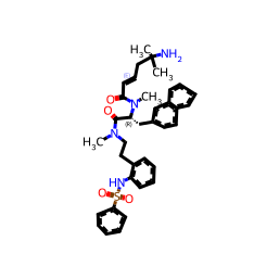 CN(CCc1ccccc1NS(=O)(=O)c1ccccc1)C(=O)[C@@H](Cc1ccc2ccccc2c1)N(C)C(=O)/C=C/CC(C)(C)N